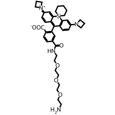 NCCOCCOCCOCCNC(=O)c1ccc(C(=O)[O-])c(C2=C3C=CC(=[N+]4CCC4)C=C3[Si]3(CCCCC3)c3cc(N4CCC4)ccc32)c1